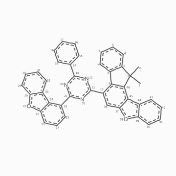 CC1(C)c2ccccc2-c2c(-c3nc(-c4ccccc4)nc(-c4cccc5oc6ccccc6c45)n3)cc3oc4ccccc4c3c21